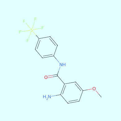 COc1ccc(N)c(C(=O)Nc2ccc(S(F)(F)(F)(F)F)cc2)c1